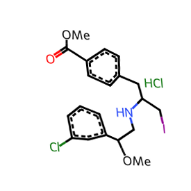 COC(=O)c1ccc(CC(CI)NCC(OC)c2cccc(Cl)c2)cc1.Cl